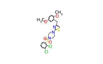 COc1ccc(OC)c(Cc2csc(N3CCN(S(=O)(=O)c4cccc(Cl)c4Cl)CC3)n2)c1